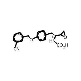 N#Cc1cccc(COc2ccc(C[C@H](NC(=O)O)C3CO3)cc2)c1